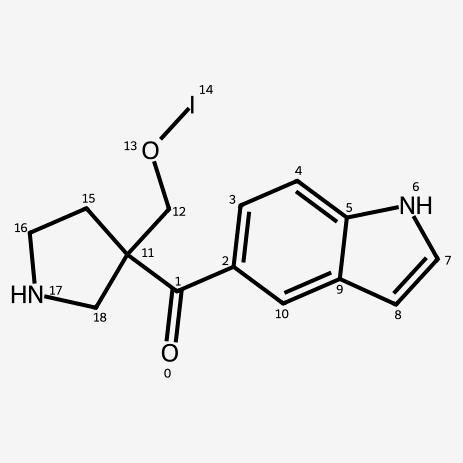 O=C(c1ccc2[nH]ccc2c1)C1(COI)CCNC1